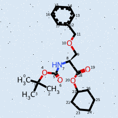 CC(C)(C)OC(=O)N[C@@H](COCc1ccccc1)C(=O)OC1CCCCC1